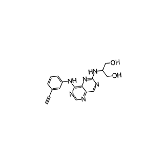 C#Cc1cccc(Nc2ncnc3cnc(NC(CO)CO)nc23)c1